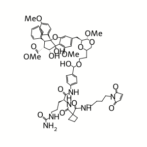 COC(=O)[C@H]1[C@@H](O)[C@@]2(O)c3c(OC)cc(C[C@@H]4OC(CCOC(O)c5ccc(NC(=O)[C@H](CCCNC(N)=O)NC(=O)C6(C(=O)NCCCCCN7C(=O)C=CC7=O)CCC6)cc5)CO[C@H]4OC)cc3O[C@@]2(c2ccc(OC)cc2)[C@@H]1c1ccccc1